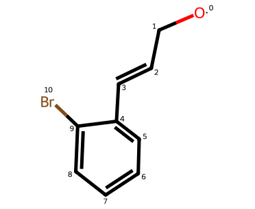 [O]C/C=C/c1ccccc1Br